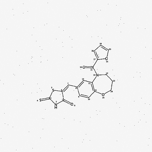 O=C1NC(=S)SC1=Cc1ccc2c(c1)N(C(=O)c1ccco1)CCCO2